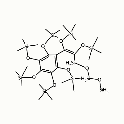 C[Si](C)(C)OC([SiH2]O[SiH2]O[SiH3])=C(O[Si](C)(C)C)c1c(O[Si](C)(C)C)c(O[Si](C)(C)C)c(O[Si](C)(C)C)c(O[Si](C)(C)C)c1O[Si](C)(C)C